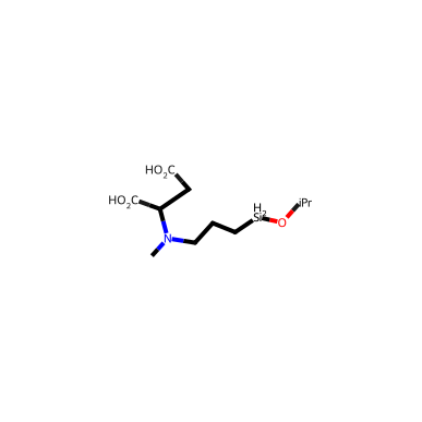 CC(C)O[SiH2]CCCN(C)C(CC(=O)O)C(=O)O